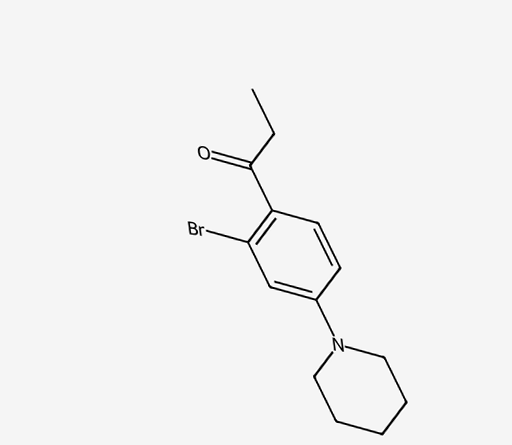 CCC(=O)c1ccc(N2CCCCC2)cc1Br